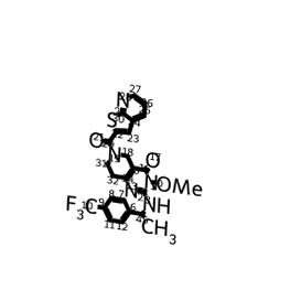 COn1c(NC(C)c2ccc(C(F)(F)F)cc2)nc2c(c1=O)CN(C(=O)c1cc3cccnc3s1)CC2